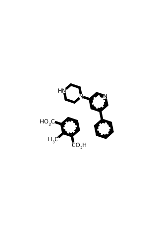 Cc1c(C(=O)O)cccc1C(=O)O.c1ccc(-c2cncc(N3CCNCC3)c2)cc1